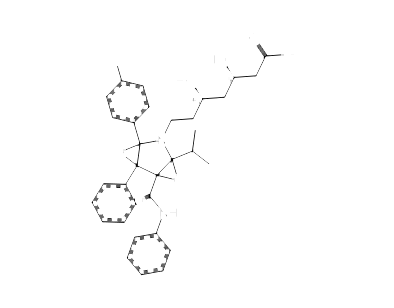 CC(C)C12OC1(C(=O)Nc1ccccc1)C1(c3ccccc3)OC1(c1ccc(F)cc1)N2CC[C@@H](O)C[C@@H](O)CC(=O)O